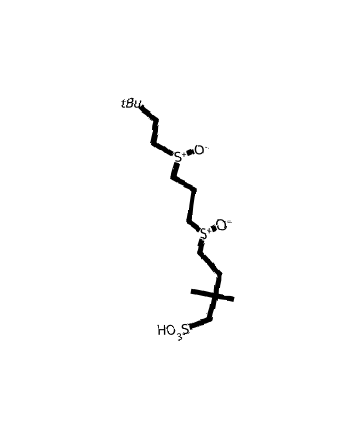 CC(C)(C)CC[S+]([O-])CCC[S+]([O-])CCC(C)(C)CS(=O)(=O)O